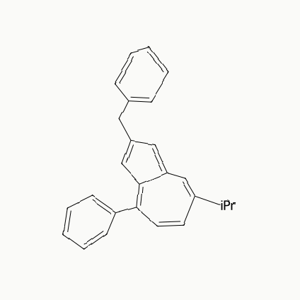 CC(C)c1ccc(-c2ccccc2)c2cc(Cc3ccccc3)cc-2c1